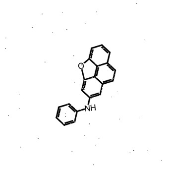 c1ccc(Nc2cc3ccc4cccc5oc(c2)c3c45)cc1